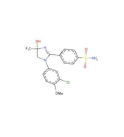 COc1ccc(N2CC(O)(C(F)(F)F)N=C2c2ccc(S(N)(=O)=O)cc2)cc1Cl